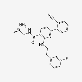 C[C@@H](N)CNC(=O)c1ccc(-c2ccccc2C#N)nc1NCCc1cccc(F)c1